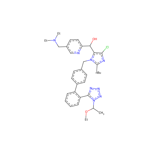 CCCCc1nc(Cl)c(C(O)c2ccc(CN(CC)CC)cn2)n1Cc1ccc(-c2ccccc2-c2nnnn2C(C)OCC)cc1